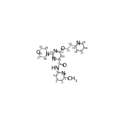 Cc1cccc(NC(=O)c2cc(OCCc3ccccn3)nc(N3CCOCC3)n2)n1